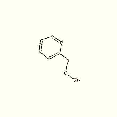 [Zn][O]Sc1ccccn1